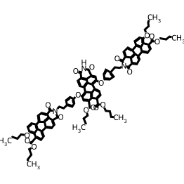 CCCCOC(=O)c1ccc2c3ccc4c5c(ccc(c6ccc(OCCCC)c1c62)c53)C(=O)N(CCc1ccc(Oc2cc3c5c(ccc6c7c(Oc8ccc(CCN9C(=O)c%10ccc%11c%12ccc(OCCCC)c%13c(C(=O)OCCCC)ccc(c%14ccc(c%10c%11%14)C9=O)c%13%12)cc8)cc(C(=O)OCCCC)c8c(C(=O)OCCCC)ccc(c2c56)c87)C(=O)NC3=O)cc1)C4=O